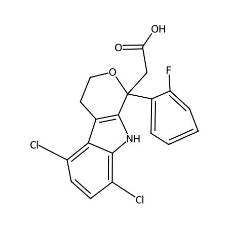 O=C(O)CC1(c2ccccc2F)OCCc2c1[nH]c1c(Cl)ccc(Cl)c21